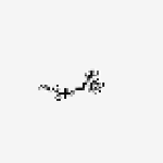 CCCCOC(=O)C(C)(C)SCCC[Si](OCC)(OCC)OCC